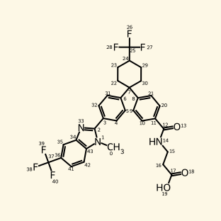 Cn1c(-c2ccc(C3(c4ccc(C(=O)NCCC(=O)O)cc4)CCC(C(F)(F)F)CC3)cc2)nc2cc(C(F)(F)F)ccc21